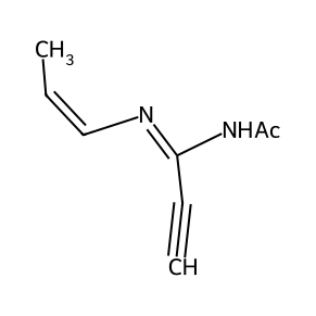 C#C/C(=N\C=C/C)NC(C)=O